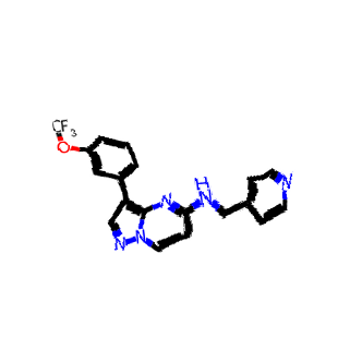 FC(F)(F)Oc1cccc(-c2cnn3ccc(NCc4ccncc4)nc23)c1